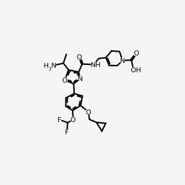 CC(N)c1oc(-c2ccc(OC(F)F)c(OCC3CC3)c2)nc1C(=O)NCC1=CCN(C(=O)O)CC1